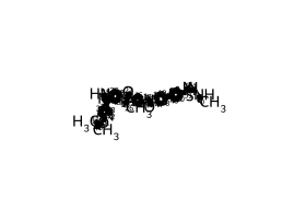 CCNc1nnc(-c2ccc(C3=CCN(C(=O)CN4CC[C@@H](C(=O)N(CC)c5ccc6[nH]nc(-c7ccc(OC(C)C)nc7)c6c5)C4)CC3)cc2)s1